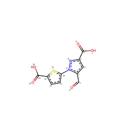 O=Cc1cc(C(=O)O)nn1-c1ccc(C(=O)O)s1